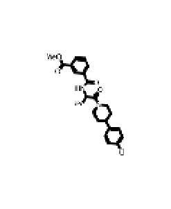 COC(=O)c1cccc(C(=O)NC(C(=O)N2CCC(c3ccc(Cl)cc3)CC2)C(C)C)c1